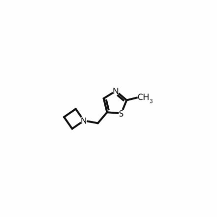 Cc1ncc(CN2CCC2)s1